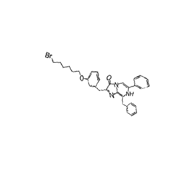 O=c1c(Cc2cccc(OCCCCCCBr)c2)nc2c(Cc3ccccc3)[nH]c(-c3ccccc3)cn1-2